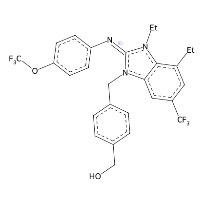 CCc1cc(C(F)(F)F)cc2c1n(CC)/c(=N/c1ccc(OC(F)(F)F)cc1)n2Cc1ccc(CO)cc1